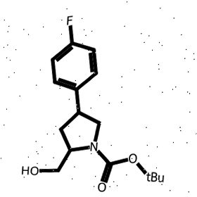 CC(C)(C)OC(=O)N1CC(c2ccc(F)cc2)CC1CO